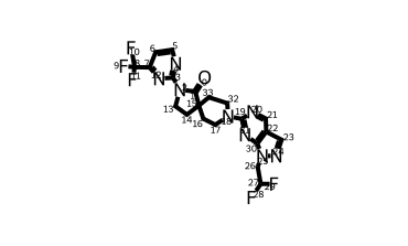 O=C1N(c2nccc(C(F)(F)F)n2)CCC12CCN(c1ncc3cnn(CC(F)F)c3n1)CC2